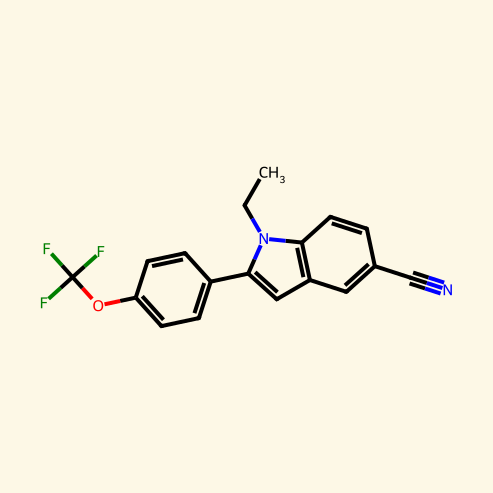 CCn1c(-c2ccc(OC(F)(F)F)cc2)cc2cc(C#N)ccc21